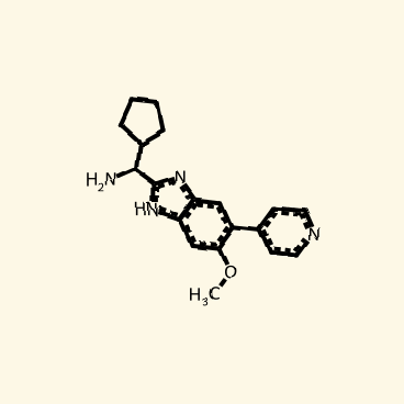 COc1cc2[nH]c(C(N)C3CCCC3)nc2cc1-c1ccncc1